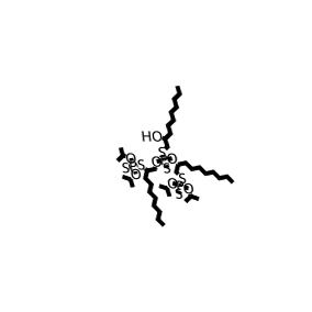 CCCCCCCCC(O)CSP(=S)(OCC(CCCCCCCC)SP(=S)(OC(C)C)OC(C)C)OC(CCCCCCCC)CSP(=S)(OC(C)C)OC(C)C